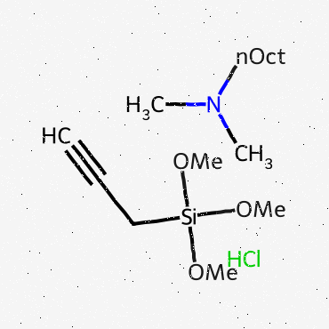 C#CC[Si](OC)(OC)OC.CCCCCCCCN(C)C.Cl